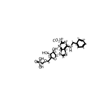 O=C(O)c1nc(NCc2ccccc2)c2ncn([C@@H]3OC(COCP(=O)(O)O)[C@@H](O)[C@H]3O)c2n1